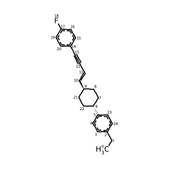 CCc1ccc([C@H]2CC[C@H](C=CC#Cc3ccc(F)cc3)CC2)cc1